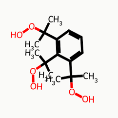 CC(C)(OO)c1cccc(C(C)(C)OO)c1C(C)(C)OO